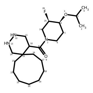 CC(C)O[C@H]1CCN(C(=O)C2CNNCC23CCCCCCCC3)C[C@H]1F